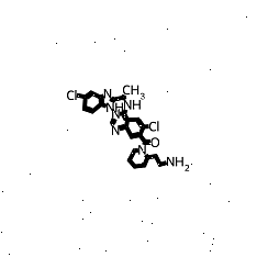 CC(Nc1ncnc2cc(C(=O)N3CCCCC3CCN)c(Cl)cc12)c1nc2cc(Cl)ccc2[nH]1